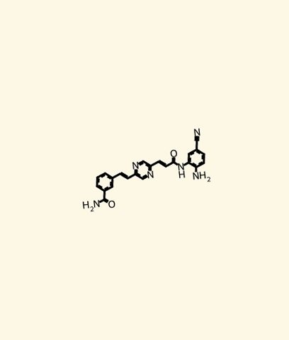 N#Cc1ccc(N)c(NC(=O)/C=C/c2cnc(/C=C/c3cccc(C(N)=O)c3)cn2)c1